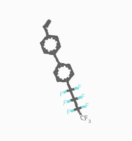 C=Cc1ccc(-c2ccc(C(F)(F)C(F)(F)C(F)(F)C(F)(F)F)cc2)cc1